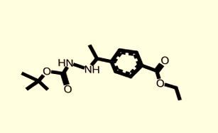 CCOC(=O)c1ccc(C(C)NNC(=O)OC(C)(C)C)cc1